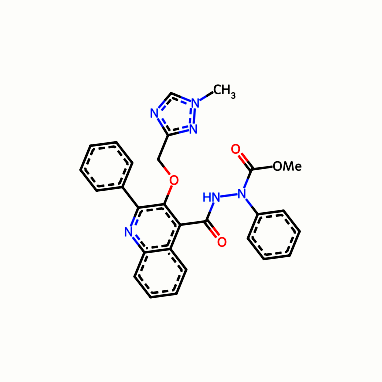 COC(=O)N(NC(=O)c1c(OCc2ncn(C)n2)c(-c2ccccc2)nc2ccccc12)c1ccccc1